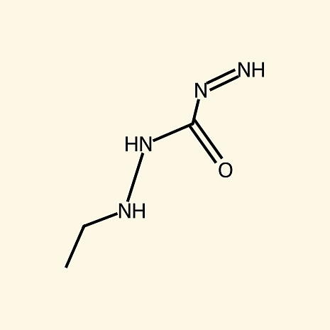 CCNNC(=O)N=N